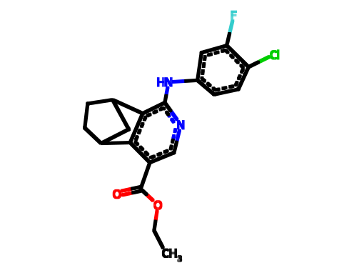 CCOC(=O)c1cnc(Nc2ccc(Cl)c(F)c2)c2c1C1CCC2C1